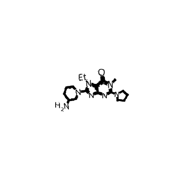 CCn1c(N2CCCC(N)C2)nc2nc(N3CCCC3)n(C)c(=O)c21